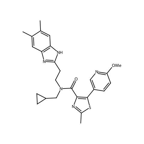 COc1ccc(-c2sc(C)nc2C(=O)N(CCc2nc3cc(C)c(C)cc3[nH]2)CC2CC2)cn1